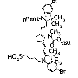 CCCCC[N+]1=C(/C=C/C2=C(N(C)C(=O)OC(C)(C)C)C(=C/C=C3/N(CCCCS(=O)(=O)O)c4ccc(Br)cc4C3(C)C)/CC2)C(C)(C)c2cc(Br)ccc21